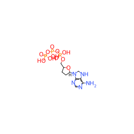 Nc1ncnc2c1NCN2[C@H]1CCC(COP(=O)(O)OP(=O)(O)OP(=O)(O)O)O1